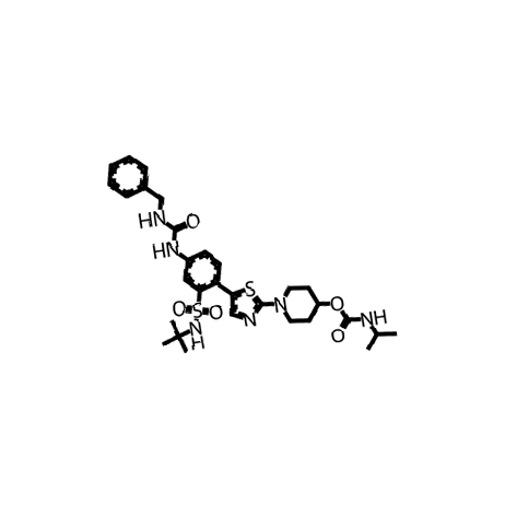 CC(C)NC(=O)OC1CCN(c2ncc(-c3ccc(NC(=O)NCc4ccccc4)cc3S(=O)(=O)NC(C)(C)C)s2)CC1